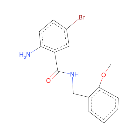 COc1ccccc1CNC(=O)c1cc(Br)ccc1N